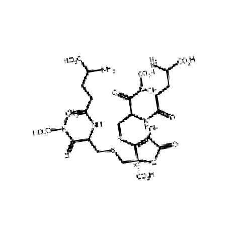 CN(C(=O)O)C(=O)C(CSC[C@]1(C(=O)O)OC(=O)C(O)=C1SCC(NC(=O)CCC(N)C(=O)O)C(=O)N(C)C(=O)O)NC(=O)CCC(N)C(=O)O